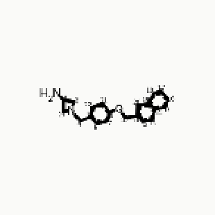 NC1CN(Cc2ccc(OCc3ccc4ccccc4c3)cc2)C1